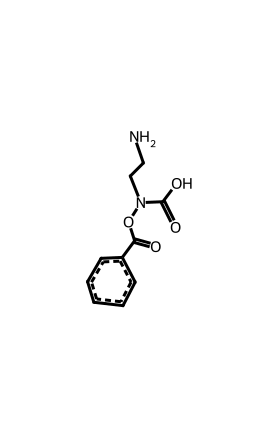 NCCN(OC(=O)c1ccccc1)C(=O)O